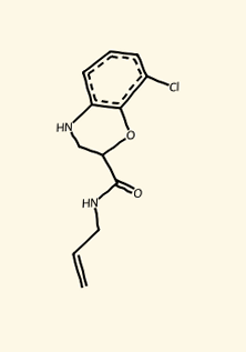 C=CCNC(=O)C1CNc2cccc(Cl)c2O1